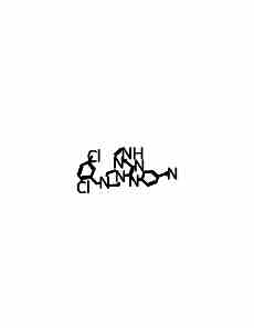 N#Cc1ccc2nc(N3CCN(Cc4cc(Cl)ccc4Cl)CC3)c(-c3ncc[nH]3)nc2c1